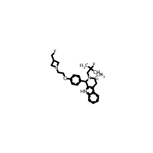 C[C@@H]1Cc2c([nH]c3ccccc23)C(c2ccc(OCCN3CC(CF)C3)cc2)N1CC(C)(C)F